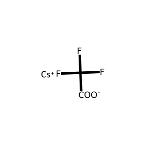 O=C([O-])C(F)(F)F.[Cs+]